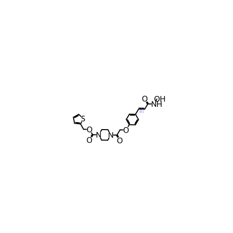 O=C(/C=C/c1ccc(OCC(=O)N2CCN(C(=O)OCc3cccs3)CC2)cc1)NO